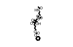 CC(=O)NCCCS(=O)(=O)OCC(C)(C)[C@](O)(CCCCOC(=O)Oc1ccccc1)C(=O)O